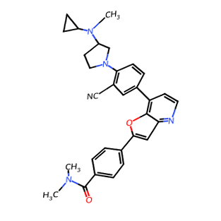 CN(C)C(=O)c1ccc(-c2cc3nccc(-c4ccc(N5CCC(N(C)C6CC6)C5)c(C#N)c4)c3o2)cc1